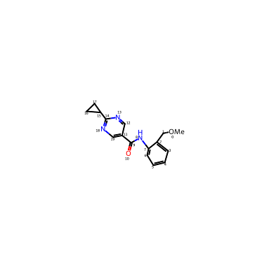 COCc1ccccc1NC(=O)c1cnc(C2CC2)nc1